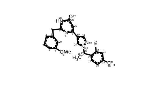 COc1cccc(Cc2nc(-c3cnn([C@@H](C)c4ccc(C(F)(F)F)cc4F)c3)cc(=O)[nH]2)c1